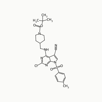 Cc1ccc(S(=O)(=O)n2cc(C#N)c3c(NCC4CCN(C(=O)OC(C)(C)C)CC4)nc(Cl)nc32)cc1